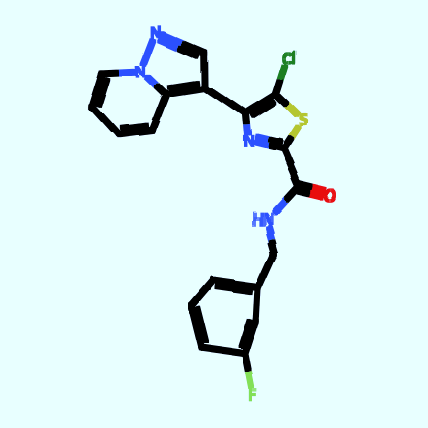 O=C(NCc1cccc(F)c1)c1nc(-c2cnn3ccccc23)c(Cl)s1